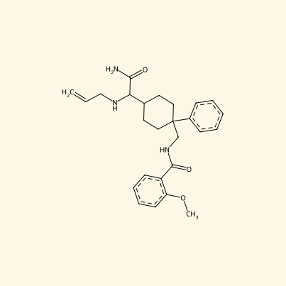 C=CCNC(C(N)=O)C1CCC(CNC(=O)c2ccccc2OC)(c2ccccc2)CC1